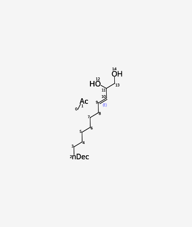 CC(C)=O.CCCCCCCCCCCCCCCC/C=C/C(O)CO